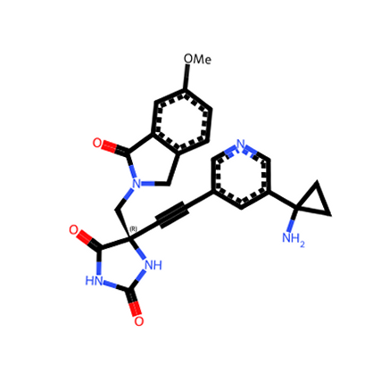 COc1ccc2c(c1)C(=O)N(C[C@@]1(C#Cc3cncc(C4(N)CC4)c3)NC(=O)NC1=O)C2